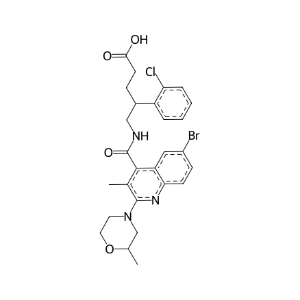 Cc1c(N2CCOC(C)C2)nc2ccc(Br)cc2c1C(=O)NCC(CCC(=O)O)c1ccccc1Cl